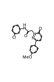 COc1ccc(-c2ccc(=O)n(CC(=O)Nc3cccc(Cl)c3)n2)cc1